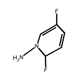 NN1C=C(F)C=CC1F